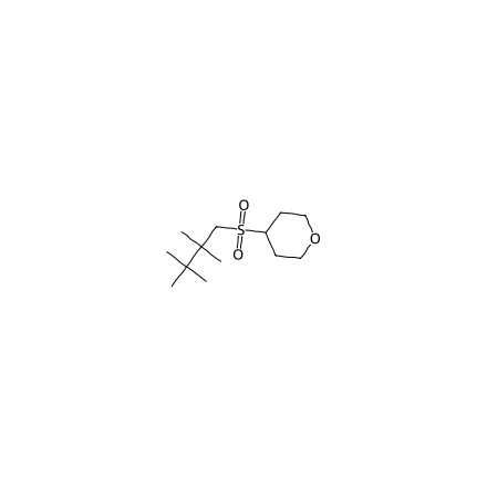 CC(C)(C)C(C)(C)CS(=O)(=O)C1CCOCC1